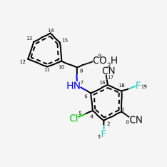 N#Cc1c(F)c(Cl)c(NC(C(=O)O)c2ccccc2)c(C#N)c1F